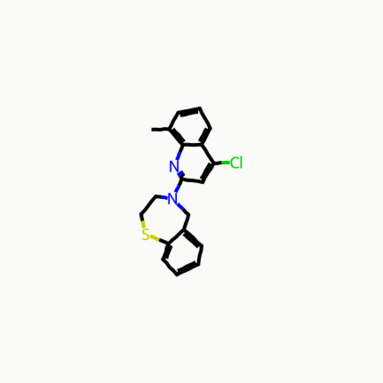 Cc1cccc2c(Cl)cc(N3CCSc4ccccc4C3)nc12